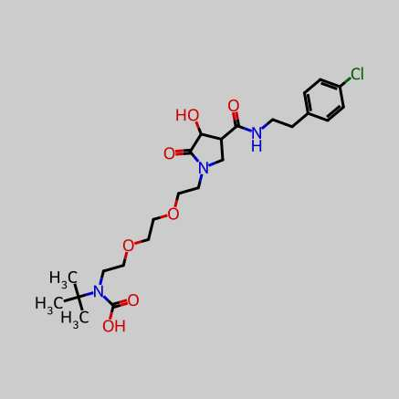 CC(C)(C)N(CCOCCOCCN1CC(C(=O)NCCc2ccc(Cl)cc2)C(O)C1=O)C(=O)O